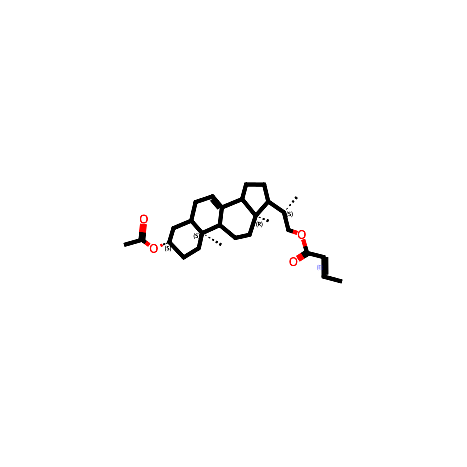 C/C=C/C(=O)OC[C@@H](C)C1CCC2C3=CCC4C[C@@H](OC(C)=O)CC[C@]4(C)C3CC[C@@]21C